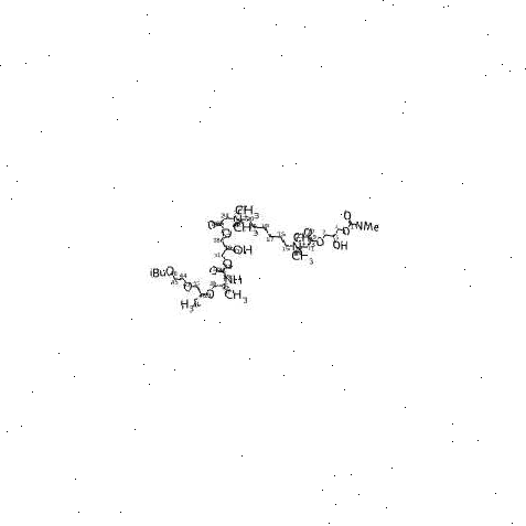 CNC(=O)OCC(O)COC(=O)C[N+](C)(C)CCCCCC[N+](C)(C)CC(=O)OCC(O)COC(=O)NC(C)COC(C)COCCOCC(C)C